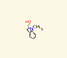 Cn1c(CCO)cc2ccccc21